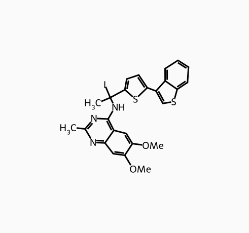 COc1cc2nc(C)nc(NC(C)(I)c3ccc(-c4csc5ccccc45)s3)c2cc1OC